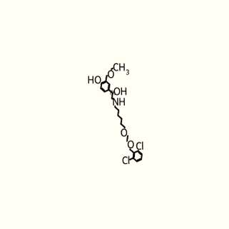 CCOCc1cc([C@@H](O)CNCCCCCCOCCOCc2c(Cl)cccc2Cl)ccc1O